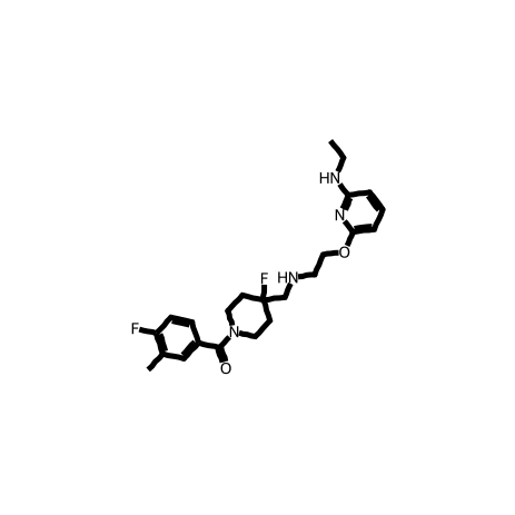 CCNc1cccc(OCCNCC2(F)CCN(C(=O)c3ccc(F)c(C)c3)CC2)n1